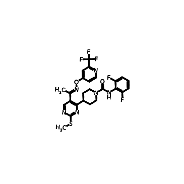 CSc1ncc(/C(C)=N/Oc2ccnc(C(F)(F)F)c2)c(C2CCN(C(=O)Nc3c(F)cccc3F)CC2)n1